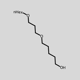 CCCCCCOCCCOCCCCCO